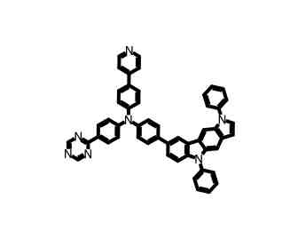 c1ccc(-n2ccc3cc4c(cc32)c2cc(-c3ccc(N(c5ccc(-c6ccncc6)cc5)c5ccc(-c6ncncn6)cc5)cc3)ccc2n4-c2ccccc2)cc1